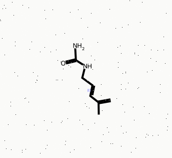 C=C(C)/C=C/CNC(N)=O